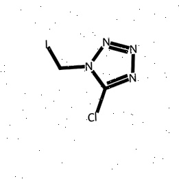 Clc1nnnn1CI